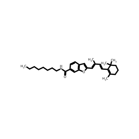 CCCCCCCCNC(=O)c1ccc2cc(/C=C(\C)C=CC3=C(C)CCCC3(C)C)oc2c1